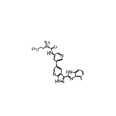 CCOCCN(CC)C(=O)Nc1cncc(-c2cnc3[nH]nc(-c4nc5c(C)cccc5[nH]4)c3c2)c1